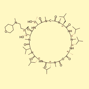 CC(C)C[C@@H]1C(=O)N[C@H](CC(C)C)C(=O)N(C)C(C(C)C)C(=O)N(C)C([C@H](O)[C@H](C)CCN(C)C2CCOCC2)C(=O)NC([C@@H](C)O)C(=O)N(C)CC(=O)N(C)[C@@H](CC(C)C)C(=O)N[C@H](CC(C)C)N(C)[C@H](CC(C)C)N[C@H](C)C(=O)OC(=O)N1C